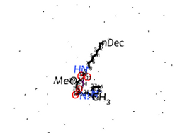 CCCCCCCCCCCCCCCCCCNC(=O)OC(I)C(COC(=O)NCC[N+]1(C)CCCC1)OC